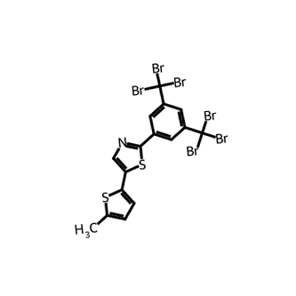 Cc1ccc(-c2cnc(-c3cc(C(Br)(Br)Br)cc(C(Br)(Br)Br)c3)s2)s1